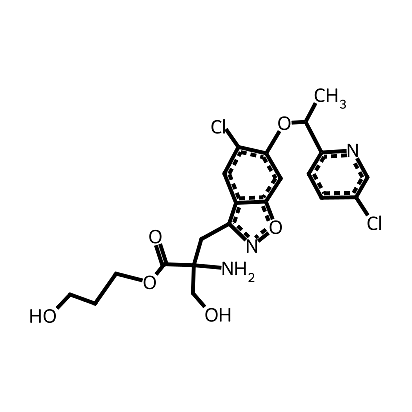 CC(Oc1cc2onc(CC(N)(CO)C(=O)OCCCO)c2cc1Cl)c1ccc(Cl)cn1